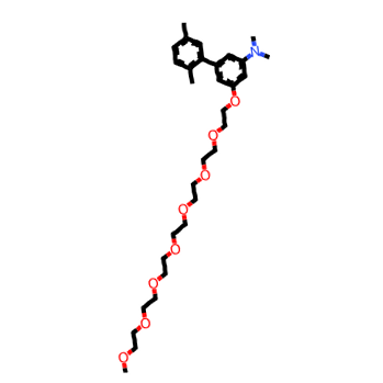 COCCOCCOCCOCCOCCOCCOCCOc1cc(-c2cc(C)ccc2C)cc(N(C)C)c1